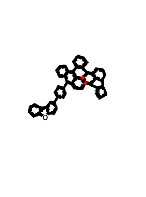 c1ccc(-c2ccc3c4c(cccc24)-c2ccccc2-3)c(-c2c3ccccc3c(-c3ccc(-c4ccc5oc6ccccc6c5c4)cc3)c3ccccc23)c1